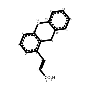 O=C(O)C=Cc1cccc2c1Cc1ccccc1O2